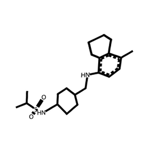 Cc1ccc(NCC2CCC(NS(=O)(=O)C(C)C)CC2)c2c1CCCC2